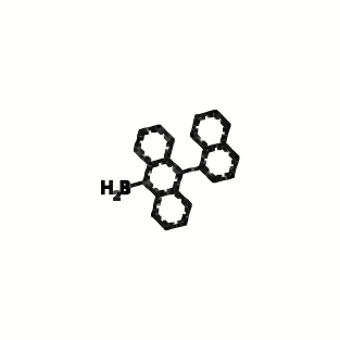 Bc1c2ccccc2c(-c2cccc3ccccc23)c2ccccc12